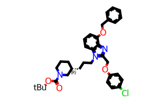 CC(C)(C)OC(=O)N1CCC[C@H](CCCn2c(COc3ccc(Cl)cc3)nc3c(OCc4ccccc4)cccc32)C1